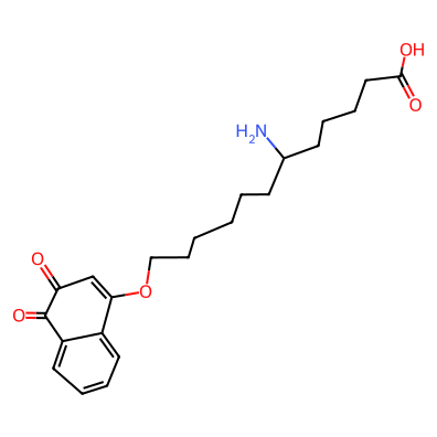 NC(CCCCCCOC1=CC(=O)C(=O)c2ccccc21)CCCCC(=O)O